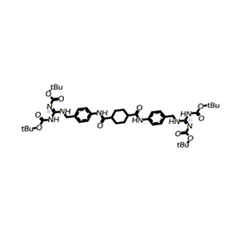 CC(C)(C)OC(=O)/N=C(\NCc1ccc(NC(=O)C2CCC(C(=O)Nc3ccc(CN/C(=N\C(=O)OC(C)(C)C)NC(=O)OC(C)(C)C)cc3)CC2)cc1)NC(=O)OC(C)(C)C